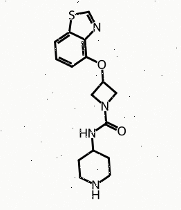 O=C(NC1CCNCC1)N1CC(Oc2cccc3scnc23)C1